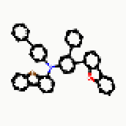 c1ccc(-c2ccc(N(c3ccc(-c4cccc5c4oc4ccccc45)c(-c4ccccc4)c3)c3cccc4c3sc3ccccc34)cc2)cc1